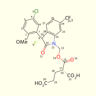 COc1ccc(Cl)cc1[C@]1(F)C(=O)N(COC(=O)[C@@H](CCC(=O)O)C(=O)O)c2cc(C(F)(F)F)ccc21